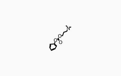 CN(C)CCCOC(=O)Oc1ccccc1